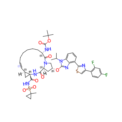 CC(C)n1c(O[C@@H]2C[C@H]3C(=O)N[C@]4(C(=O)NS(=O)(=O)C5(C)CC5)C[C@H]4/C=C\CCCCC[C@H](NC(=O)OC(C)(C)C)C(=O)N3C2)nc2c(-c3nc(-c4ccc(F)cc4F)cs3)cccc21